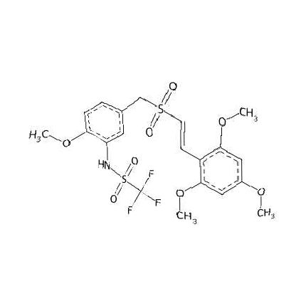 COc1cc(OC)c(C=CS(=O)(=O)Cc2ccc(OC)c(NS(=O)(=O)C(F)(F)F)c2)c(OC)c1